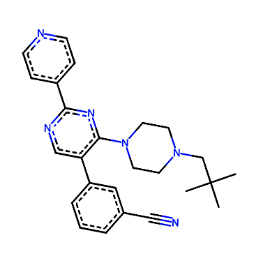 CC(C)(C)CN1CCN(c2nc(-c3ccncc3)ncc2-c2cccc(C#N)c2)CC1